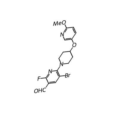 COc1ccc(OC2CCN(c3nc(F)c(C=O)cc3Br)CC2)cn1